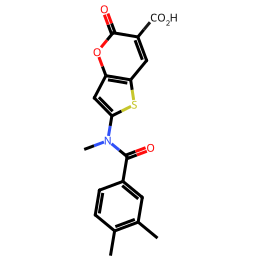 Cc1ccc(C(=O)N(C)c2cc3oc(=O)c(C(=O)O)cc3s2)cc1C